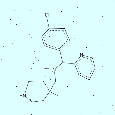 CN(CC1(C)CCNCC1)C(c1ccc(Cl)cc1)c1ccccn1